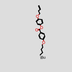 C=CCCOc1ccc(OC(=O)c2ccc(OCCCCC[C@@H](C)CC)cc2)cc1